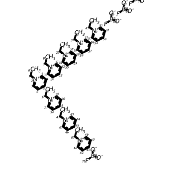 CC[n+]1ccccc1.CC[n+]1ccccc1.CC[n+]1ccccc1.CC[n+]1ccccc1.CC[n+]1ccccc1.CC[n+]1ccccc1.CC[n+]1ccccc1.CC[n+]1ccccc1.[O-]B([O-])F.[O-]B([O-])F.[O-]B([O-])F.[O-]B([O-])F